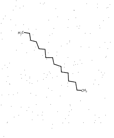 CC[CH]CCCCCCCCCCCCC